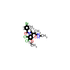 CCNC(=O)C(C)c1c(C)n(C(=O)c2ccc(Br)cc2)c2c(Cl)c(Cl)c(OCC)cc12